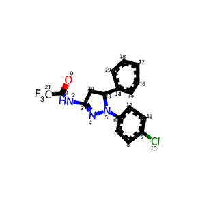 O=C(NC1=NN(c2ccc(Cl)cc2)C(c2ccccc2)C1)C(F)(F)F